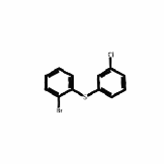 Clc1cccc(Sc2ccccc2Br)c1